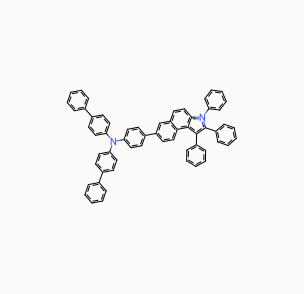 c1ccc(-c2ccc(N(c3ccc(-c4ccccc4)cc3)c3ccc(-c4ccc5c(ccc6c5c(-c5ccccc5)c(-c5ccccc5)n6-c5ccccc5)c4)cc3)cc2)cc1